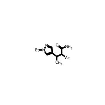 CCn1cc(C(C)C(C(C)=O)C(N)=O)cn1